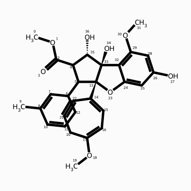 COC(=O)C1C(C2C=C(C)C=CC2)[C@@]2(C3=CC=C(OC)CC#C3)Oc3cc(O)cc(OC)c3[C@@]2(O)[C@H]1O